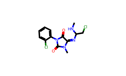 CNC(CCl)/N=C1\C(=O)N(c2ccccc2Cl)C(=O)N1C